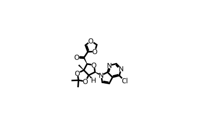 CC1(C)O[C@H]2[C@H](n3ccc4c(Cl)ncnc43)O[C@H](C(=O)C3=COCO3)[C@@]2(C)O1